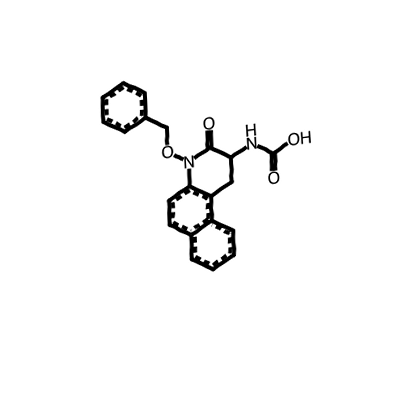 O=C(O)NC1Cc2c(ccc3ccccc23)N(OCc2ccccc2)C1=O